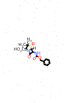 CC1(C)[C@H](C(=O)O)N2C(=O)C(NC(=O)OCc3ccccc3)[C@H]2[S+]1[O-]